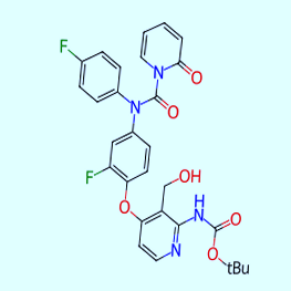 CC(C)(C)OC(=O)Nc1nccc(Oc2ccc(N(C(=O)n3ccccc3=O)c3ccc(F)cc3)cc2F)c1CO